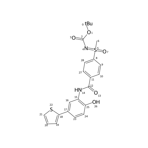 CC(C)(C)OC(=O)N=S(C)(=O)c1ccc(C(=O)Nc2cc(-c3cccs3)ccc2O)cc1